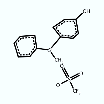 C[S+](c1ccccc1)c1ccc(O)cc1.O=S(=O)([O-])C(F)(F)F